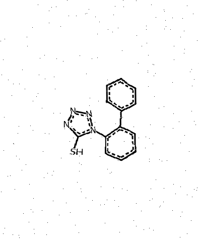 Sc1nnnn1-c1ccccc1-c1ccccc1